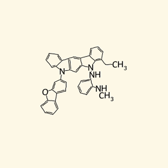 CCc1cccc2c3cc4c5ccccc5n(-c5ccc6c(c5)oc5ccccc56)c4cc3n(Nc3ccccc3NC)c12